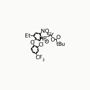 CCc1cc([N+](=O)[O-])c([PH](=O)SC(C)OC(=O)C(C)(C)C)cc1Oc1ccc(C(F)(F)F)cc1Cl